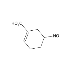 O=NC1CCC=C(C(=O)O)C1